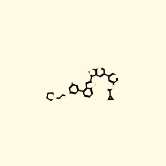 O=C(Nc1cncc(-c2cnc3[nH]nc(-c4cc5c(-c6cc(F)cc(OCCN7CCCC7)c6)cccc5[nH]4)c3c2)c1)C1CC1